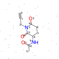 C#CCN1C(=O)CCC(NC(C)=O)C1=O